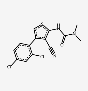 CN(C)C(=O)Nc1scc(-c2ccc(Cl)cc2Cl)c1C#N